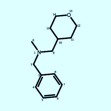 CN(Cc1ccccc1)CC1CCOCC1